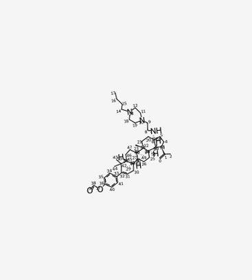 C=C(C)[C@@H]1CC[C@]2(NCCN3CCN(CCCC)CC3)CC[C@]3(C)[C@H](CC[C@@H]4[C@@]5(C)CC=C(c6ccc(OC=O)cc6)C(C)(C)[C@@H]5CC[C@]43C)[C@@H]12